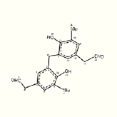 CC(C)(C)c1cc(CC=O)cc(Cc2cc(CC=O)cc(C(C)(C)C)c2O)c1O